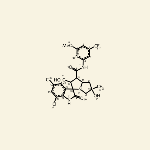 COc1cc(C(F)(F)F)cc(NC(=O)C2C3C[C@@](O)(C(F)(F)F)CN3C3(C(=O)Nc4c(Cl)cc(Cl)cc43)C2C(=O)O)n1